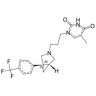 Cc1cn(CCCN2C[C@@H]3C[C@]3(c3ccc(C(F)(F)F)cc3)C2)c(=O)[nH]c1=O